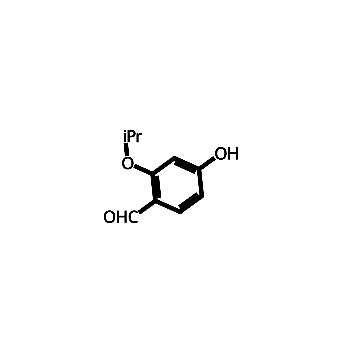 CC(C)Oc1cc(O)ccc1C=O